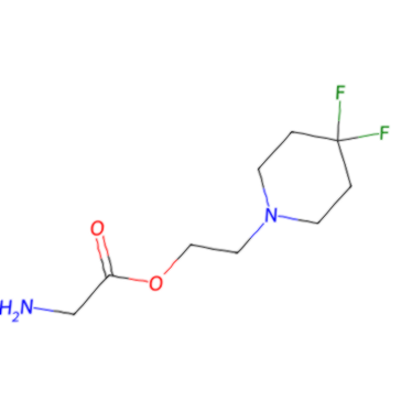 NCC(=O)OCCN1CCC(F)(F)CC1